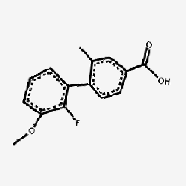 COc1cccc(-c2ccc(C(=O)O)cc2C)c1F